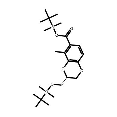 Cc1c(C(=O)O[Si](C)(C)C(C)(C)C)ccc2c1O[C@@H](CO[Si](C)(C)C(C)(C)C)CO2